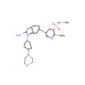 CNc1ncc(-c2ccc3nc(N)n(-c4ccc(N5CCOCC5)cc4)c3c2)cc1S(=O)(=O)NC(C)(C)C